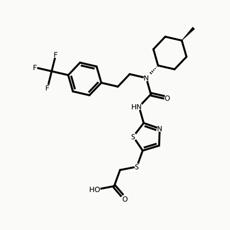 C[C@H]1CC[C@H](N(CCc2ccc(C(F)(F)F)cc2)C(=O)Nc2ncc(SCC(=O)O)s2)CC1